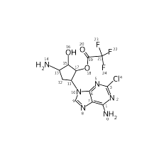 Nc1nc(Cl)nc2c1ncn2C1CC(N)C(O)C1OC(=O)C(F)(F)F